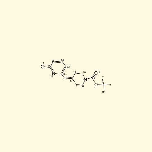 CC(C)(C)OC(=O)N1CCC(=Cc2cccc(Cl)n2)CC1